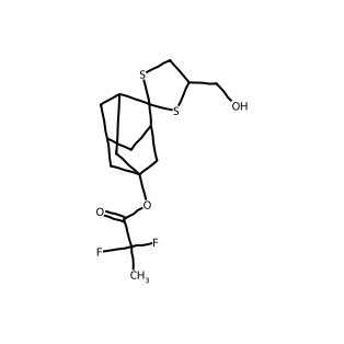 CC(F)(F)C(=O)OC12CC3CC(C1)C1(SCC(CO)S1)C(C3)C2